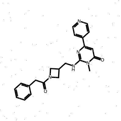 Cn1c(NCC2CN(C(=O)Cc3ccccc3)C2)nc(-c2ccncc2)cc1=O